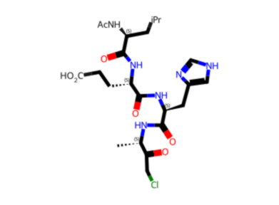 CC(=O)N[C@@H](CC(C)C)C(=O)N[C@@H](CCC(=O)O)C(=O)N[C@@H](Cc1c[nH]cn1)C(=O)N[C@@H](C)C(=O)CCl